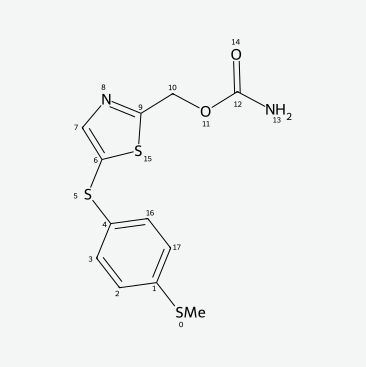 CSc1ccc(Sc2cnc(COC(N)=O)s2)cc1